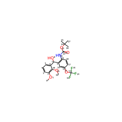 COc1cccc(C(O)c2cc(OC(F)(F)F)ccc2NC(=O)OC(C)(C)C)c1OC